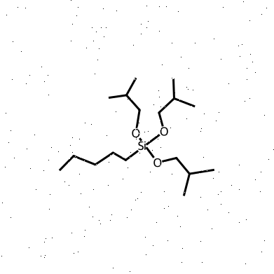 CCCCC[Si](OCC(C)C)(OCC(C)C)OCC(C)C